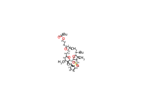 C=C1C[C@H](CCCOC(=O)C(C)(C)C)O[C@H]1CCC1C[C@@H](C)C(=C)[C@@H](C[C@@H]2O[C@H](C[C@H](C)CC)[C@H](C)[C@H]2CS(=O)(=O)c2ccccc2)O1